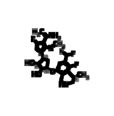 C=Nc1c(C(=C)N)c(F)cn1[C@@H]1C[C@H](Oc2cc(C(F)F)c(F)c3c2CNC[C@H]3C)[C@@H](O)[C@H]1O